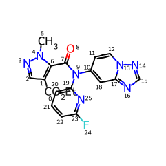 CCOC(=O)c1cnn(C)c1C(=O)N(c1ccn2ncnc2c1)c1cccc(F)n1